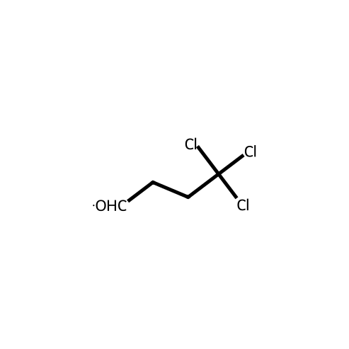 O=[C]CCC(Cl)(Cl)Cl